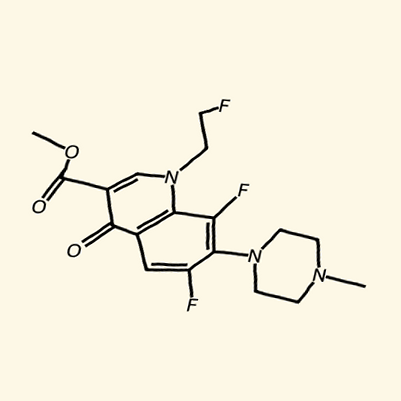 COC(=O)c1cn(CCF)c2c(F)c(N3CCN(C)CC3)c(F)cc2c1=O